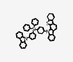 C1=Cc2c(sc3c2ccc2c4ccccc4n(C4=CC=C([Si](c5ccccc5)(c5ccccc5)c5cccc(-n6c7ccccc7c7ccccc76)c5)CC4)c23)CC1